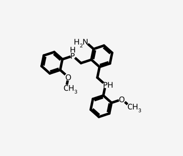 COc1ccccc1PCc1cccc(N)c1CPc1ccccc1OC